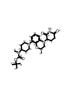 C[C@@H]1CN(C2CCC(=O)NC2=O)c2cccc(N3CCC(N(C)C(=O)OC(C)(C)C)CC3)c2O1